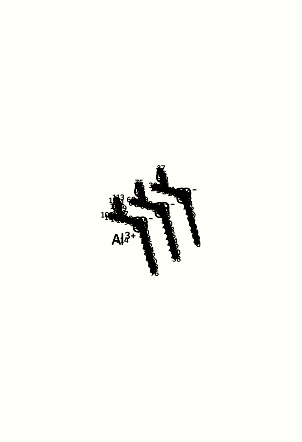 CCCCCCCCCCCCCCCCOP(=O)([O-])OCCCCCC(CCCC)CCCOCCC.CCCCCCCCCCCCCCCCOP(=O)([O-])OCCCCCC(CCCC)CCCOCCC.CCCCCCCCCCCCCCCCOP(=O)([O-])OCCCCCC(CCCC)CCCOCCC.[Al+3]